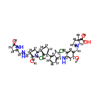 COc1cc(N[C@H]2CCc3c(-c4cccc(-c5ccc(CNCC6CCC(=O)N6)c(OC)n5)c4Cl)cccc32)c(Cl)cc1CN1CCC(C)(C(=O)O)C1